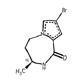 C[C@H]1CCn2cc(Br)cc2C(=O)N1